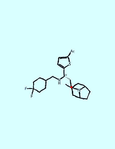 CC(=O)c1ccc([C@H](CCN2C3CCC2CC(C)C3)NCC2CCC(F)(F)CC2)s1